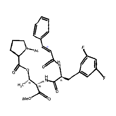 COC(=O)[C@@H](NC(=O)[C@H](Cc1cc(F)cc(F)c1)NC(=O)/C=C/c1ccccc1)[C@H](C)OC(=O)C1CCCN1C(C)=O